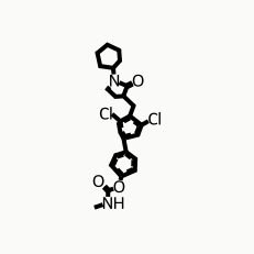 CNC(=O)Oc1ccc(-c2cc(Cl)c(CC3CCN(C4CCCCC4)C3=O)c(Cl)c2)cc1